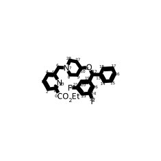 CCOC(=O)c1cccc(CN2CCC(OC(c3ccccc3)c3cc(F)cc(F)c3)CC2)n1